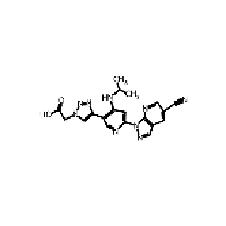 CC(C)Nc1cc(-n2ncc3cc(C#N)cnc32)ncc1-c1cn(CC(=O)O)nn1